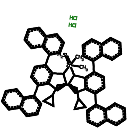 Cl.Cl.[CH3][Zr]([CH3])(=[SiH2])([CH]1C(CC2CC2)=Cc2c(-c3cccc4ccccc34)ccc(-c3cccc4ccccc34)c21)[CH]1C(CC2CC2)=Cc2c(-c3cccc4ccccc34)ccc(-c3cccc4ccccc34)c21